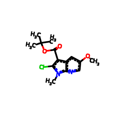 COc1cnc2c(c1)c(C(=O)OC(C)(C)C)c(Cl)n2C